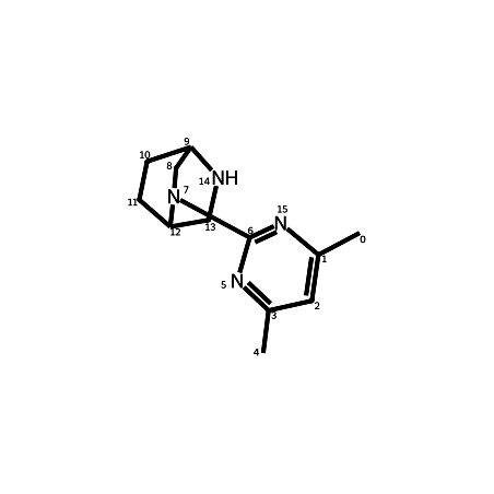 Cc1cc(C)nc(N2CC3CCC2CN3)n1